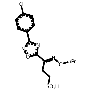 CCCON=C(CCS(=O)(=O)O)c1nc(-c2ccc(Cl)cc2)no1